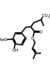 COc1cc(CC(CC(C)C(=O)O)C(=O)OCC=C(C)C)ccc1O